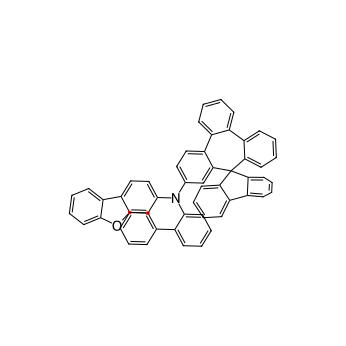 c1ccc(-c2ccccc2N(c2ccc3c(c2)C2(c4ccccc4-c4ccccc4-3)c3ccccc3-c3ccccc32)c2ccc3c(c2)oc2ccccc23)cc1